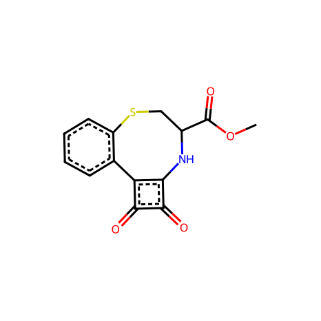 COC(=O)C1CSc2ccccc2-c2c(c(=O)c2=O)N1